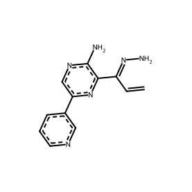 C=C/C(=N\N)c1nc(-c2cccnc2)cnc1N